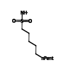 CCCCCCCCCCS([NH])(=O)=O